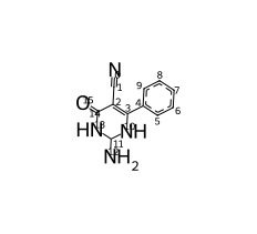 N#CC1=C(c2ccccc2)NC(N)NC1=O